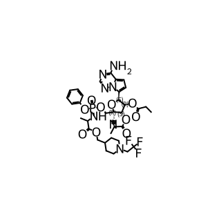 CCC(=O)O[C@@H]1[C@H](c2ccc3c(N)ncnn23)O[C@](C#N)(COP(=O)(NC(C)C(=O)OCC2CCN(CC(F)(F)F)CC2)Oc2ccccc2)[C@H]1OC(=O)CC